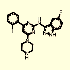 Fc1ccc2[nH]nc(Nc3nc(-c4ccccc4I)cc(N4CCNCC4)n3)c2c1